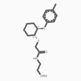 COCCNC(=O)CS[C@@H]1CCCC[C@H]1Sc1ccc(C)cc1